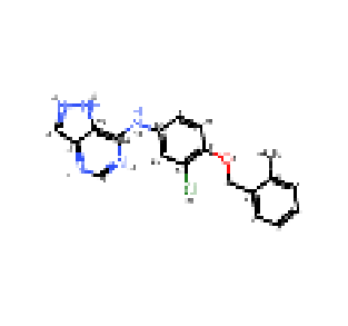 N#Cc1ccccc1COc1ccc(Nc2ncnc3cn[nH]c23)cc1Cl